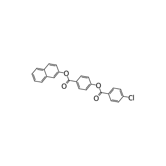 O=C(Oc1ccc(C(=O)Oc2ccc3ccccc3c2)cc1)c1ccc(Cl)cc1